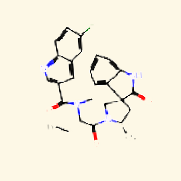 CC(C)C[C@@H](C(=O)N1C[C@]2(C[C@H]1C#N)C(=O)Nc1ccccc12)N(C)C(=O)c1cnc2ccc(F)cc2c1